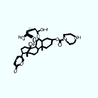 CC12CCC(OC(=O)N3CCNCC3)CC1CCC1C2CCC2(C)C(c3ccc(=O)oc3)CCC12O.O=C(O)/C=C\C(=O)O